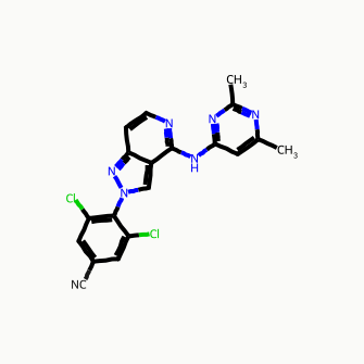 Cc1cc(Nc2nccc3nn(-c4c(Cl)cc(C#N)cc4Cl)cc23)nc(C)n1